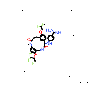 CN1Cc2cc(cc(F)c2OC(CF)CF)NC(=O)CCc2cc(ccc2OCC(F)F)[C@@H](Nc2ccc(C(=N)N)cc2)C1=O